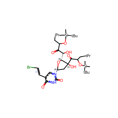 CC(C)CC(O[Si](C)(C)C(C)(C)C)C(=O)C(O)[C@H]1O[C@@H](n2cc(/C=C/Br)c(=O)[nH]c2=O)C[C@@]1(O)C(=O)C(CC(C)C)O[Si](C)(C)C(C)(C)C